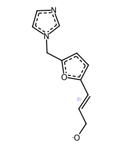 [O]C/C=C/c1ccc(Cn2ccnc2)o1